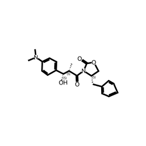 C[C@H](C(=O)N1C(=O)OC[C@@H]1Cc1ccccc1)[C@H](O)c1ccc(N(C)C)cc1